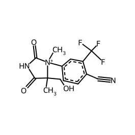 CC1(CO)C(=O)NC(=O)[N+]1(C)c1ccc(C#N)c(C(F)(F)F)c1